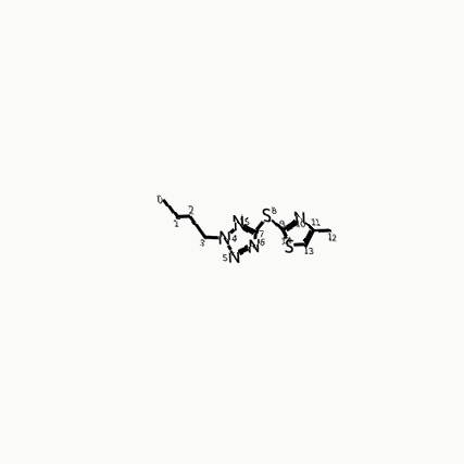 CCCCn1nnc(Sc2nc(C)cs2)n1